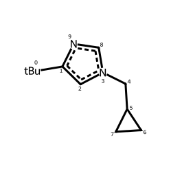 CC(C)(C)c1cn(CC2CC2)cn1